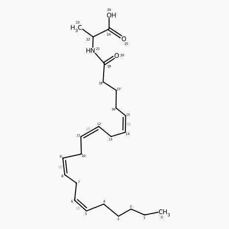 CCCCC/C=C\C/C=C\C/C=C\C/C=C\CCCC(=O)NC(C)C(=O)O